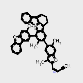 C#C/C=C\c1oc2cc(C)c(-c3cc4c5c6c(c7ccccc7n6c4c(-c4cc6c(cc4C)oc4ccccc46)c3C)=CCC5)cc2c1C